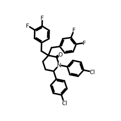 O=C1N(c2ccc(Cl)cc2)C(c2ccc(Cl)cc2)CCC1(Cc1ccc(F)c(F)c1)Cc1ccc(F)c(F)c1